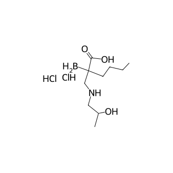 BC(CCCC)(CNCC(C)O)C(=O)O.Cl.Cl